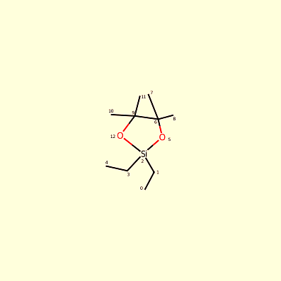 CC[Si]1(CC)OC(C)(C)C(C)(C)O1